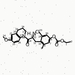 CCOC(=O)Oc1cc(C)c(CC(N)C(=O)N2CCCc3cc(OC)ccc32)c(Cl)c1